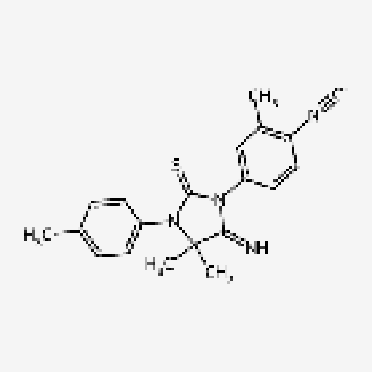 [C-]#[N+]c1ccc(N2C(=N)C(C)(C)N(c3ccc(C)cc3)C2=S)cc1C